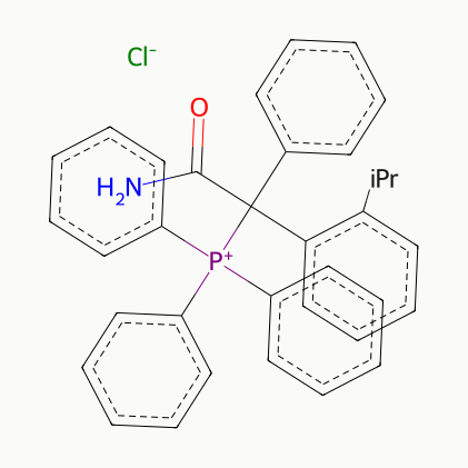 CC(C)c1ccccc1C(C(N)=O)(c1ccccc1)[P+](c1ccccc1)(c1ccccc1)c1ccccc1.[Cl-]